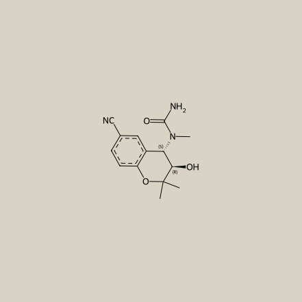 CN(C(N)=O)[C@H]1c2cc(C#N)ccc2OC(C)(C)[C@@H]1O